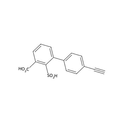 C#Cc1ccc(-c2cccc(C(=O)O)c2S(=O)(=O)O)cc1